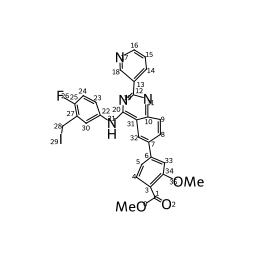 COC(=O)c1ccc(-c2ccc3nc(-c4cccnc4)nc(Nc4ccc(F)c(CI)c4)c3c2)cc1OC